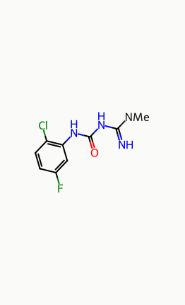 CNC(=N)NC(=O)Nc1cc(F)ccc1Cl